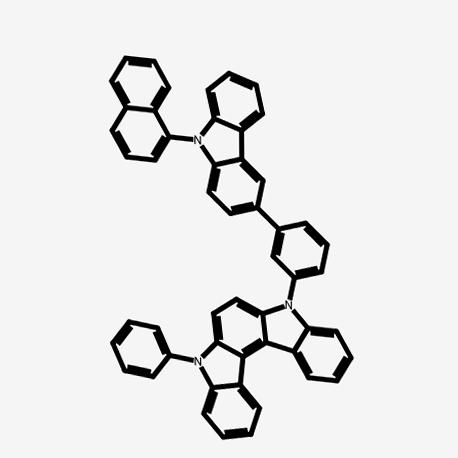 c1ccc(-n2c3ccccc3c3c4c5ccccc5n(-c5cccc(-c6ccc7c(c6)c6ccccc6n7-c6cccc7ccccc67)c5)c4ccc32)cc1